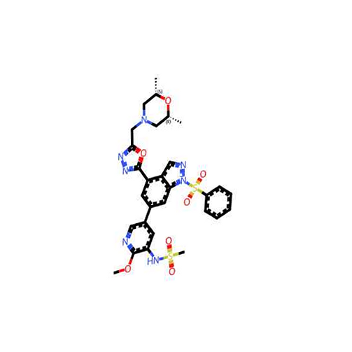 COc1ncc(-c2cc(-c3nnc(CN4C[C@@H](C)O[C@@H](C)C4)o3)c3cnn(S(=O)(=O)c4ccccc4)c3c2)cc1NS(C)(=O)=O